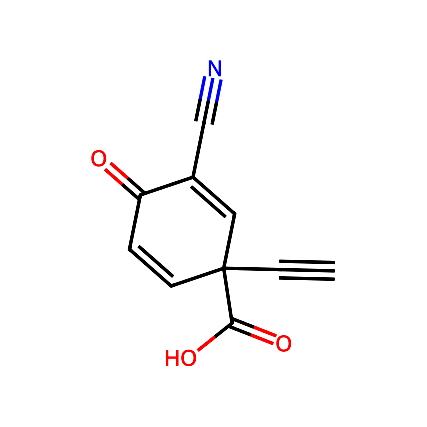 C#CC1(C(=O)O)C=CC(=O)C(C#N)=C1